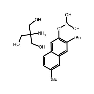 CC(C)(C)c1ccc2cc(OP(O)O)c(C(C)(C)C)cc2c1.NC(CO)(CO)CO